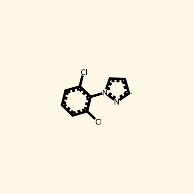 Clc1cccc(Cl)c1-n1cc[c]n1